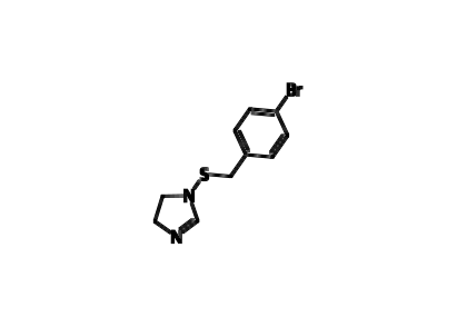 Brc1ccc(CSN2C=NCC2)cc1